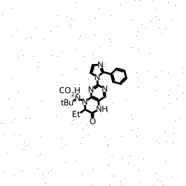 CCC1C(=O)Nc2cnc(-n3ccnc3-c3ccccc3)nc2N1N(C(=O)O)C(C)(C)C